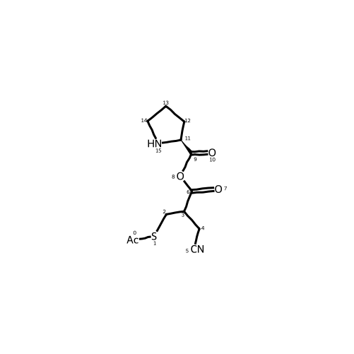 CC(=O)SCC(CC#N)C(=O)OC(=O)[C@@H]1CCCN1